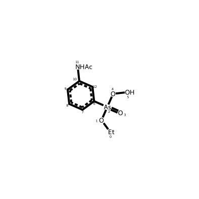 CCO[As](=O)(OO)c1cccc(NC(C)=O)c1